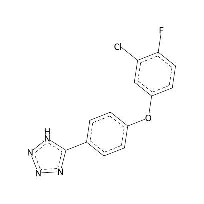 Fc1ccc(Oc2ccc(-c3nnn[nH]3)cc2)cc1Cl